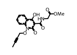 CC#CCOn1c(=O)c(C(=O)NCC(=O)OC)c(O)c2ccccc21